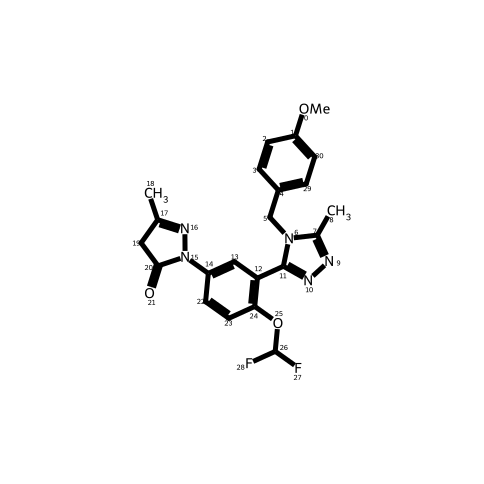 COc1ccc(Cn2c(C)nnc2-c2cc(N3N=C(C)CC3=O)ccc2OC(F)F)cc1